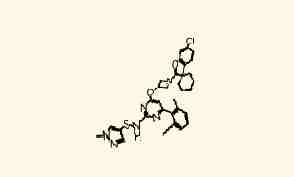 Cc1cccc(C)c1-c1cc(OC2CN(C(=O)C3(c4ccc(Cl)cc4)CCCCC3)C2)nc(NSc2cnn(C)c2)n1